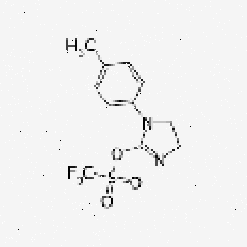 Cc1ccc(N2CCN=C2OS(=O)(=O)C(F)(F)F)cc1